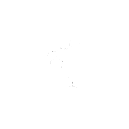 CCC(O)/C=C/C1CCC(O)C1CCCCCC(=O)O